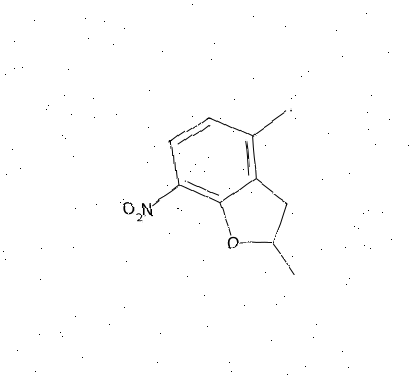 [CH2]c1ccc([N+](=O)[O-])c2c1CC(C)O2